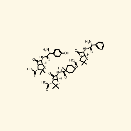 CC1(C)S[C@@H]2[C@H](NC(=O)C3(N)CCCCC3)C(=O)N2[C@H]1C(=O)O.CC1(C)S[C@@H]2[C@H](NC(=O)[C@H](N)c3ccc(O)cc3)C(=O)N2[C@H]1C(=O)O.CC1(C)S[C@@H]2[C@H](NC(=O)[C@H](N)c3ccccc3)C(=O)N2[C@H]1C(=O)O